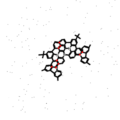 Cc1cc2c3c(c1)N(c1c(-c4ccccc4)cc(C(C)(C)C)cc1-c1ccccc1)c1cc(-n4c5ccc(C)cc5c5cc(C)ccc54)ccc1B3c1ccc(-n3c4ccc(C)cc4c4cc(C)ccc43)cc1N2c1c(-c2ccccc2)cc(C(C)(C)C)cc1-c1ccccc1